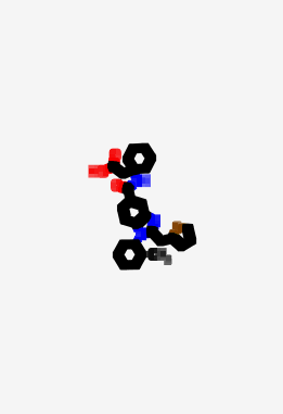 C[C@@H]1CCCC[C@H]1n1c(Cc2cccs2)nc2cc(C(=O)NC3(CC(=O)O)CCCCC3)ccc21